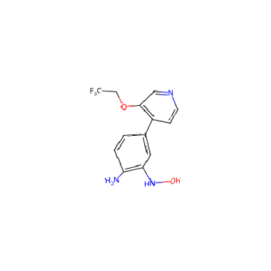 Nc1ccc(-c2ccncc2OCC(F)(F)F)cc1NO